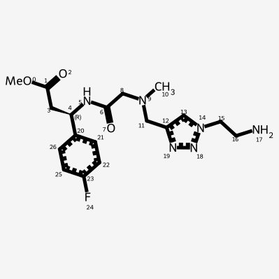 COC(=O)C[C@@H](NC(=O)CN(C)Cc1cn(CCN)nn1)c1ccc(F)cc1